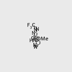 COc1ccc2cn(C)nc2c1NS(=O)(=O)c1ccc(-n2cc(C(F)(F)F)cn2)nc1